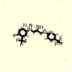 N/C(=C\N(N)c1ccc(F)c(C(F)(F)F)c1)COc1ccc(C(F)(F)F)cn1